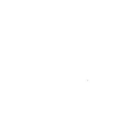 O=C(OC1CNCc2cccc(-c3cccc4c3oc3ccccc34)c2O1)C(F)(F)F